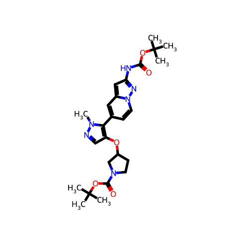 Cn1ncc(OC2CCN(C(=O)OC(C)(C)C)C2)c1-c1ccn2nc(NC(=O)OC(C)(C)C)cc2c1